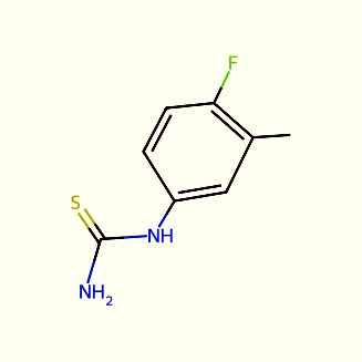 Cc1cc(NC(N)=S)ccc1F